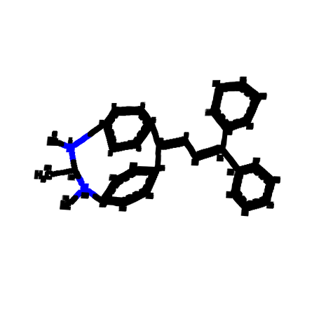 CCN1c2ccc(cc2)C(=CC=C(c2ccccc2)c2ccccc2)c2ccc(cc2)N(CC)C1C